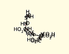 O=CCN(CC(=O)O)Cc1cc(C#Cc2ccc(NC(=S)NCCCCCC(=O)NC(CCCCNC(=O)CCCCC3SCC4NC(=O)NC43)C(=O)O)cc2)cc(CN(CC(=O)O)CC(=O)O)n1